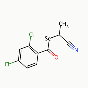 CC(C#N)[Se]C(=O)c1ccc(Cl)cc1Cl